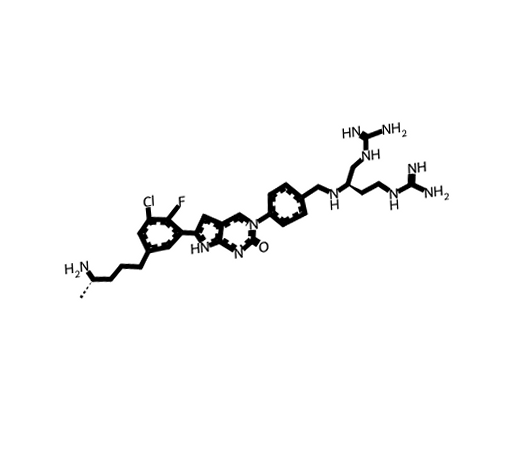 C[C@H](N)CCCc1cc(Cl)c(F)c(-c2cc3cn(-c4ccc(CN[C@H](CCNC(=N)N)CNC(=N)N)cc4)c(=O)nc3[nH]2)c1